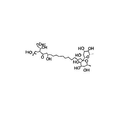 CCCCCCCCCCCC(O)C(C(=O)O)C(=O)CC(O)CCCCCCCCCCCC1(C2O[C@@H](C)[C@H](O)[C@@H](O)[C@H]2O)O[C@@H](C)[C@H](O)[C@@H](O)[C@H]1O